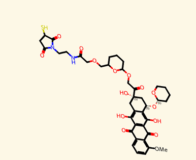 COc1cccc2c1C(=O)c1c(O)c3c(c(O)c1C2=O)C[C@@](O)(C(=O)COC1CCCC(COCC(=O)NCCN2C(=O)CC(S)C2=O)O1)C[C@@H]3O[C@H]1CCCCO1